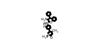 Cc1cc(=O)n(C)cc1-c1ccc(NC(=O)C(N)C(c2ccccc2)c2ccccc2)cc1.Cl